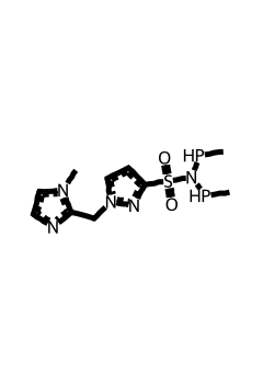 CPN(PC)S(=O)(=O)c1ccn(Cc2nccn2C)n1